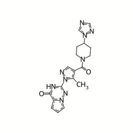 Cc1c(C(=O)N2CCC(n3cncn3)CC2)cnn1-c1nn2cccc2c(=O)[nH]1